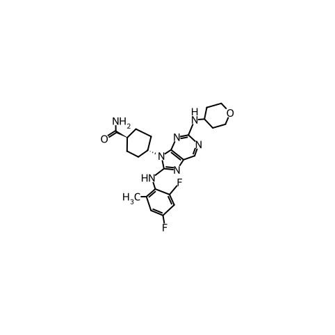 Cc1cc(F)cc(F)c1Nc1nc2cnc(NC3CCOCC3)nc2n1[C@H]1CC[C@H](C(N)=O)CC1